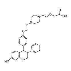 O=C(O)COCCN1CCN(CCOc2ccc(C3c4ccc(O)cc4CCC3c3ccccc3)cc2)CC1